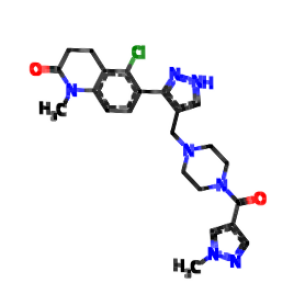 CN1C(=O)CCc2c1ccc(-c1n[nH]cc1CN1CCN(C(=O)c3cnn(C)c3)CC1)c2Cl